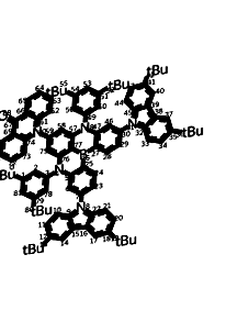 CC(C)(C)c1cc(N2c3cc(-n4c5ccc(C(C)(C)C)cc5c5cc(C(C)(C)C)ccc54)ccc3B3c4ccc(-n5c6ccc(C(C)(C)C)cc6c6cc(C(C)(C)C)ccc65)cc4N(c4cc(C(C)(C)C)cc(C(C)(C)C)c4)c4cc(-n5c6ccccc6c(=O)c6ccccc65)cc2c43)cc(C(C)(C)C)c1